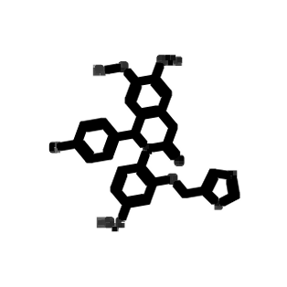 COc1cc2c(cc1OC(C)C)C(c1ccc(Cl)cc1)N(c1ccc(C(=O)O)cc1OCc1cncs1)C(=O)C2